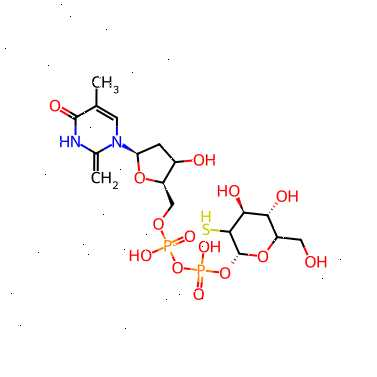 C=C1NC(=O)C(C)=CN1[C@H]1CC(O)[C@@H](COP(=O)(O)OP(=O)(O)O[C@H]2OC(CO)[C@@H](O)[C@H](O)C2S)O1